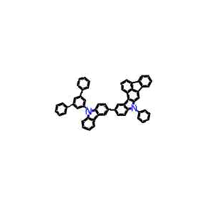 c1ccc(-c2cc(-c3ccccc3)cc(-n3c4ccccc4c4cc(-c5ccc6c(c5)c5c7cccc8c7c(cc5n6-c5ccccc5)-c5ccccc5-8)ccc43)c2)cc1